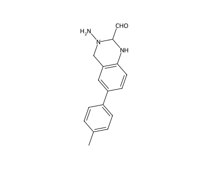 Cc1ccc(-c2ccc3c(c2)CN(N)C(C=O)N3)cc1